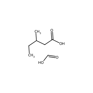 CCC(C)CC(=O)O.O=CO